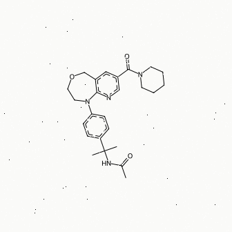 CC(=O)NC(C)(C)c1ccc(N2CCOCc3cc(C(=O)N4CCCCC4)cnc32)cc1